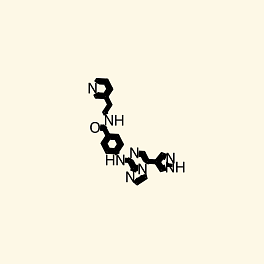 O=C(NCCc1cccnc1)c1ccc(Nc2ncc(-c3cn[nH]c3)n3ccnc23)cc1